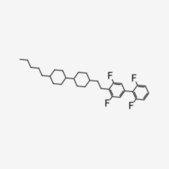 CCCCCC1CCC(C2CCC(CCc3c(F)cc(-c4c(F)cccc4F)cc3F)CC2)CC1